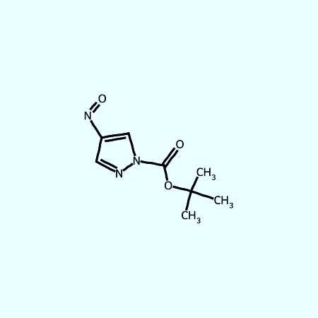 CC(C)(C)OC(=O)n1cc(N=O)cn1